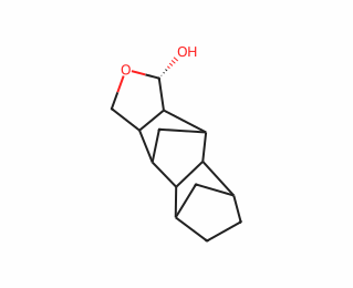 O[C@H]1OCC2C3CC(C4C5CCC(C5)C34)C21